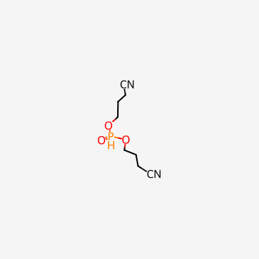 N#CCCCO[PH](=O)OCCCC#N